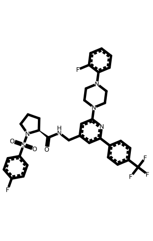 O=C(NCc1cc(-c2ccc(C(F)(F)F)cc2)nc(N2CCN(c3ccccc3F)CC2)c1)[C@@H]1CCCN1S(=O)(=O)c1ccc(F)cc1